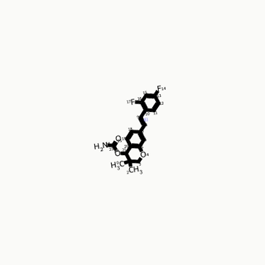 CC1(C)COc2cc(/C=C/c3ccc(F)cc3F)ccc2C1OC(N)=O